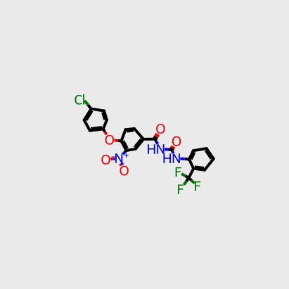 O=C(NC(=O)c1ccc(Oc2ccc(Cl)cc2)c([N+](=O)[O-])c1)Nc1ccccc1C(F)(F)F